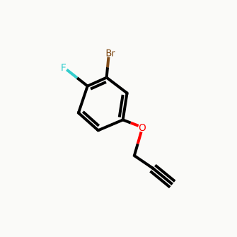 C#CCOc1ccc(F)c(Br)c1